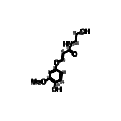 COc1cc(OC=CC(=O)NCCO)ccc1O